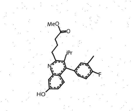 COC(=O)CCCc1nc2cc(O)ccc2c(-c2ccc(F)c(C)c2)c1C(C)C